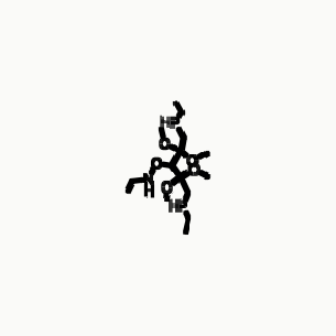 CCNOC(C(CPCC)(OC)OC)C(CPCC)(OC)OC